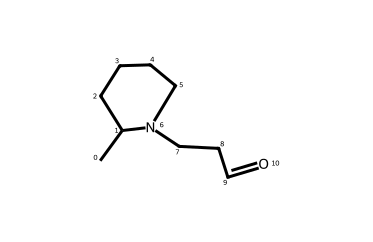 CC1CCCCN1CCC=O